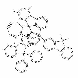 CC1=CC#CCC2=C1c1ccccc1C21c2cc(C)cc(C)c2-c2cccc(N(c3ccc4c(c3)C(C)(C)c3ccccc3-4)c3ccc4c(c3)C(c3ccccc3)(c3ccccc3)c3ccccc3-4)c21